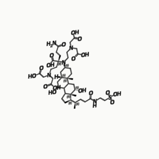 C[C@H](CCC(=O)NCCS(=O)(=O)O)[C@H]1CCC2C3C(C[C@H](O)[C@@]21C)[C@@]1(C)CC[C@H](N(CCN(CC(=O)O)CC(=O)O)[C@](CCC(N)=O)(CCN(CC(=O)O)CC(=O)O)C(=O)O)C[C@H]1C[C@H]3O